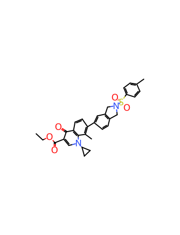 CCOC(=O)c1cn(C2CC2)c2c(C)c(-c3ccc4c(c3)CN(S(=O)(=O)c3ccc(C)cc3)C4)ccc2c1=O